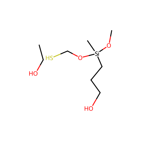 CCO.CO[Si](C)(CCCO)OCS